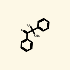 CC(C)COC(C)(C(=O)c1ccccc1)c1ccccc1